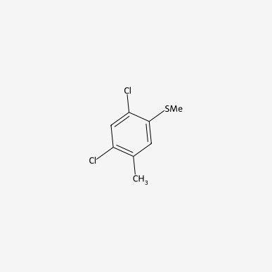 CSc1cc(C)c(Cl)cc1Cl